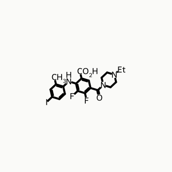 CCN1CCN(C(=O)c2cc(C(=O)O)c(Nc3ccc(I)cc3C)c(F)c2F)CC1